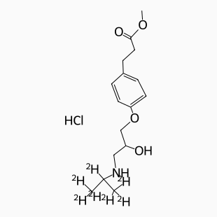 Cl.[2H]C([2H])([2H])C([2H])(NCC(O)COc1ccc(CCC(=O)OC)cc1)C([2H])([2H])[2H]